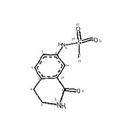 O=C1NCCc2ccc(NS(=O)(=O)F)cc21